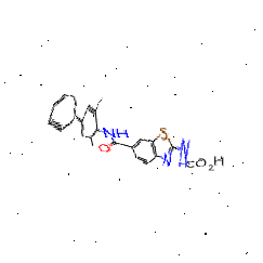 Cc1cc(-c2ccccc2)cc(C)c1NC(=O)c1ccc2nc(NC(=O)O)sc2c1